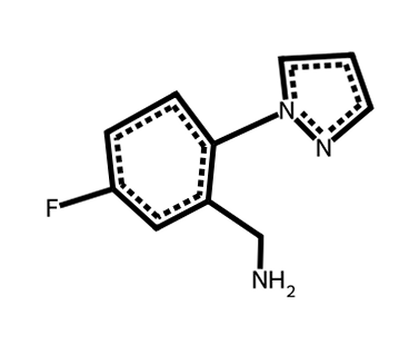 NCc1cc(F)ccc1-n1cccn1